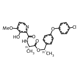 COc1ccnc(C(=O)N[C@@H](C)C(=O)O[C@@H](C)c2ccc(Oc3ccc(Cl)cc3)cc2)c1O